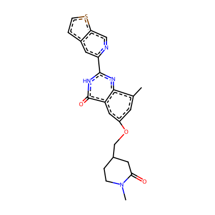 Cc1cc(OCC2CCN(C)C(=O)C2)cc2c(=O)[nH]c(-c3cc4ccsc4cn3)nc12